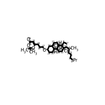 CC(C)CCC[C@@H](C)[C@H]1CC[C@H]2[C@@H]3CC=C4C[C@@H](OCCCC5=CC(=O)OC(C)(C)O5)CC[C@]4(C)[C@H]3CC[C@]12C